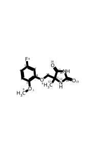 COc1ccc(F)cc1OCC1(C)NC(=O)NC1=O